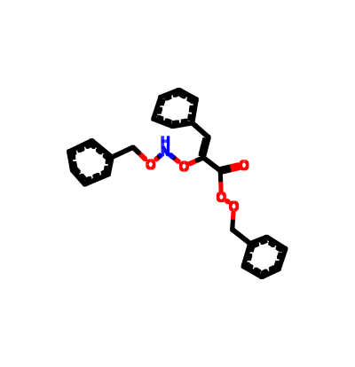 O=C(OOCc1ccccc1)C(=Cc1ccccc1)ONOCc1ccccc1